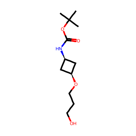 CC(C)(C)OC(=O)N[C@H]1C[C@@H](OCCCO)C1